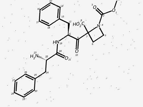 CC(C)(C)OC(=O)N1CCC1(C(=O)O)C(=O)[C@H](Cc1ccccc1)NC(=O)[C@@H](N)Cc1ccccc1